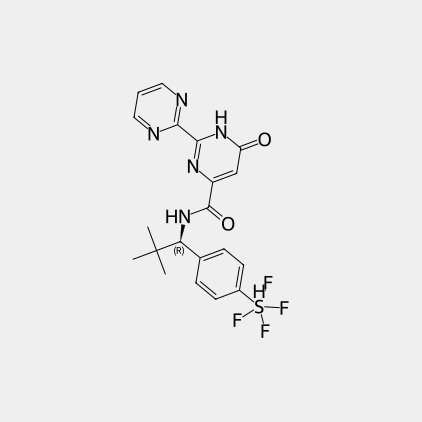 CC(C)(C)[C@@H](NC(=O)c1cc(=O)[nH]c(-c2ncccn2)n1)c1ccc([SH](F)(F)(F)F)cc1